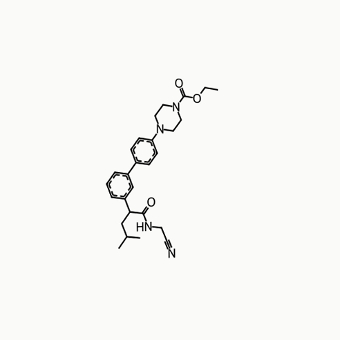 CCOC(=O)N1CCN(c2ccc(-c3cccc(C(CC(C)C)C(=O)NCC#N)c3)cc2)CC1